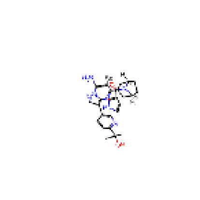 CC(=O)c1c([C@H]2C[C@H]3CC[C@@H](C2)N3C(=O)c2cc[nH]c2)nc2c(-c3ccc(C(C)(C)O)nc3)cnn2c1N